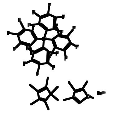 CC1=C(C)C(C)(C)C(C)=C1C.Cc1c[c-](C)c(C)c1C.Fc1c(F)c(F)c([B-](c2c(F)c(F)c(F)c(F)c2F)(c2c(F)c(F)c(F)c(F)c2F)c2c(F)c(F)c(F)c(F)c2F)c(F)c1F.[Fe+2]